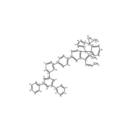 C/C=C\C1=C(C)C2(c3ccc(-c4ccc(-c5cccc(-c6nc(-c7ccccc7)nc(-c7ccccc7)n6)c5)cc4)cc31)c1ccccc1C(C)(C)c1ccccc12